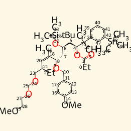 CCC(=O)O[C@@H](C[C@@H](C[C@H](OCc1ccc(OC)cc1)/C(C)=C\[C@@H](CC)COCOCCOC)O[Si](C)(C)C(C)(C)C)C(C)(C)c1ccc[c]([Sn]([CH3])([CH3])[CH3])c1